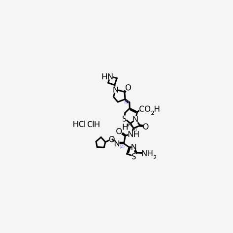 Cl.Cl.Nc1nc(/C(=N/OC2CCCC2)C(=O)N[C@@H]2C(=O)N3C(C(=O)O)=C(/C=C4\CCN(C5CNC5)C4=O)CS[C@H]23)cs1